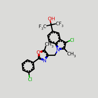 Cc1oc(-c2cccc(Cl)c2)nc1Cn1c(C)c(Cl)c2cc(C(O)(C(F)(F)F)C(F)(F)F)ccc21